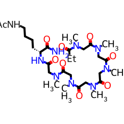 CCC(=O)N(C)CC(=O)N(C)CC(=O)N(C)CC(=O)N(C)CC(=O)N(C)CC(=O)N(C)CC(=O)N[C@H](CCCCNC(C)=O)C(N)=O